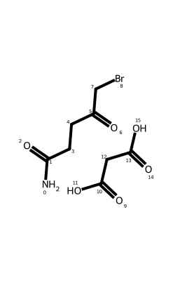 NC(=O)CCC(=O)CBr.O=C(O)CC(=O)O